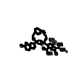 C[C@@H](O)[C@H]1C(=O)N2C(C(=O)O)=C(C34/C=C/COc5ccc(cc5)COC(c5ccc6ccc(=O)oc6c5)(CC3)CC4)[C@H](C)[C@H]12